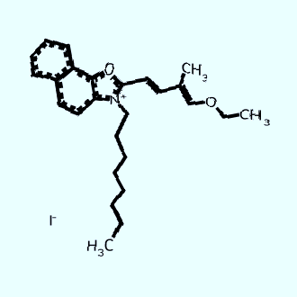 CCCCCCCC[n+]1c(/C=C/C(C)=C/OCC)oc2c3ccccc3ccc21.[I-]